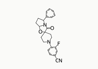 N#Cc1ccc(N2CCC3(CC2)OC2CCC(c4ccccc4)N2C3=O)c(F)c1